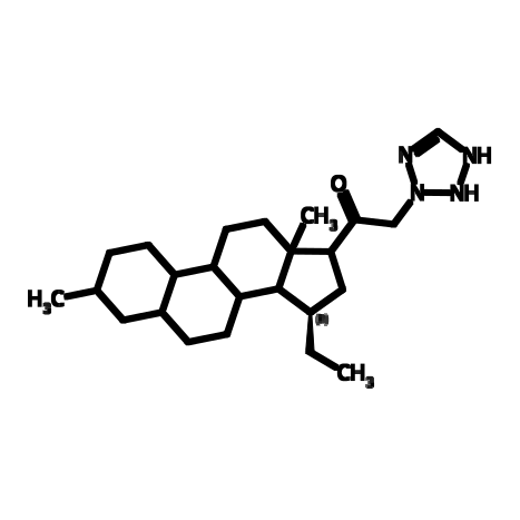 CC[C@@H]1CC(C(=O)CN2N=CNN2)C2(C)CCC3C4CCC(C)CC4CCC3C12